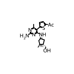 CC(=O)c1ccc(-c2c(C)nc(N)nc2N[C@@H]2C[C@H](CO)[C@@H](C)C2)s1